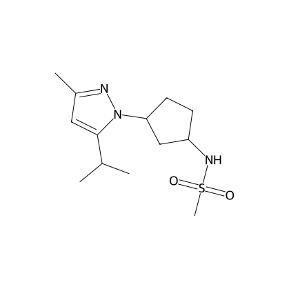 Cc1cc(C(C)C)n(C2CCC(NS(C)(=O)=O)C2)n1